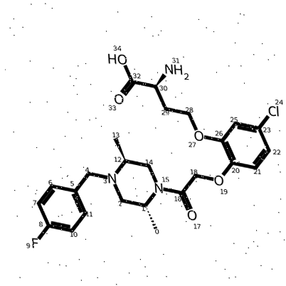 C[C@@H]1CN(Cc2ccc(F)cc2)[C@@H](C)CN1C(=O)COc1ccc(Cl)cc1OCC[C@H](N)C(=O)O